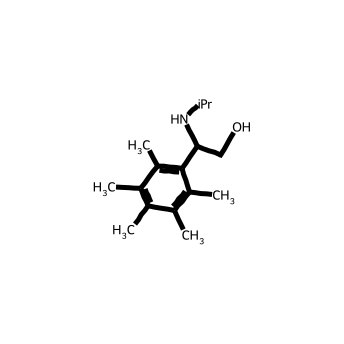 Cc1c(C)c(C)c(C(CO)NC(C)C)c(C)c1C